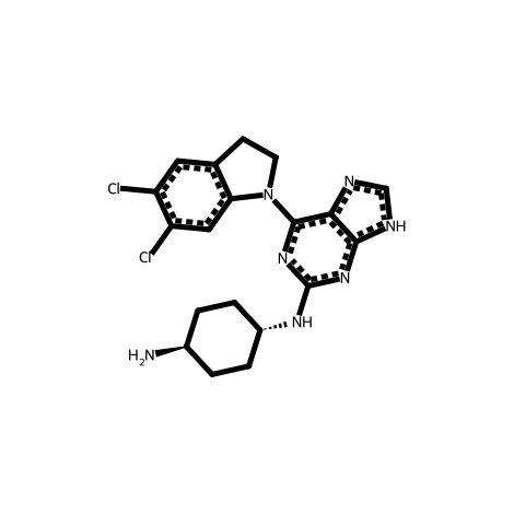 N[C@H]1CC[C@H](Nc2nc(N3CCc4cc(Cl)c(Cl)cc43)c3nc[nH]c3n2)CC1